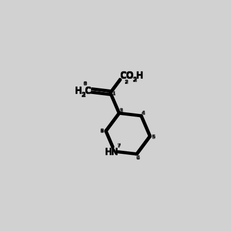 C=C(C(=O)O)C1CCCNC1